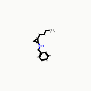 CCCC[C]1CC1NCc1ccccc1